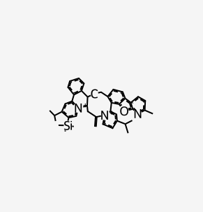 C=C1CC2C(CCc3ccc4c(oc5nc(C)ccc54)c3-c3cc(C(C)C)cc[n+]31)c1ccccc1-c1cc(C(C)C)c([Si](C)(C)C)c[n+]12